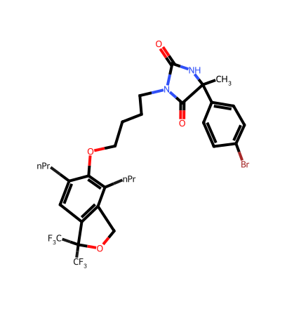 CCCc1cc2c(c(CCC)c1OCCCCN1C(=O)NC(C)(c3ccc(Br)cc3)C1=O)COC2(C(F)(F)F)C(F)(F)F